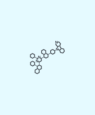 c1ccc(-c2nc(-c3ccc4ccccc4c3-c3ccccc3)cc(-c3ccc(-c4ccc(-n5c6ccccc6c6ccncc65)cc4)c4ccccc34)n2)cc1